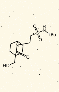 CC(C)(C)NS(=O)(=O)CCN1C(=O)C2(CO)CCC1CC2